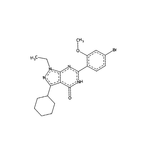 CCn1nc(C2CCCCC2)c2c(=O)[nH]c(-c3ccc(Br)cc3OC)nc21